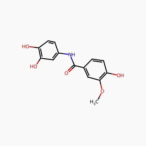 COc1cc(C(=O)Nc2ccc(O)c(O)c2)ccc1O